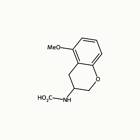 COc1cccc2c1CC(NC(=O)O)CO2